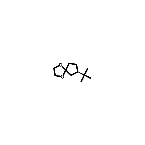 CC(C)(C)[C@@H]1CCC2(C1)OCCO2